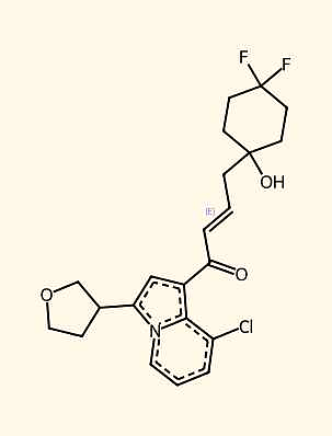 O=C(/C=C/CC1(O)CCC(F)(F)CC1)c1cc(C2CCOC2)n2cccc(Cl)c12